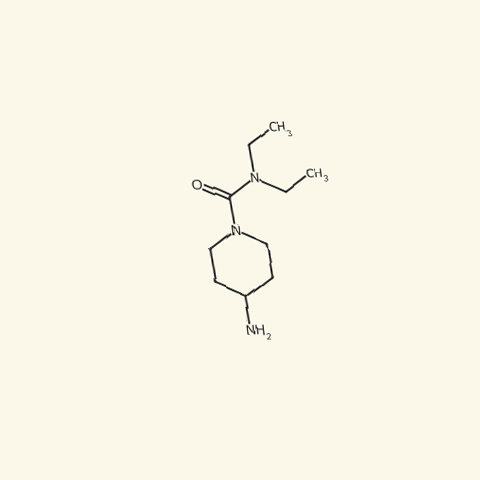 CCN(CC)C(=O)N1CCC(N)CC1